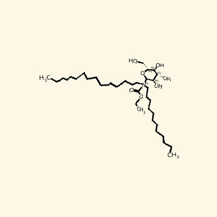 CCCCCCCCCCCCCCC[N+](CCCCCCCCCCCC)(C(=O)OCC)C1O[C@H](CO)[C@@H](O)[C@H](O)[C@H]1O